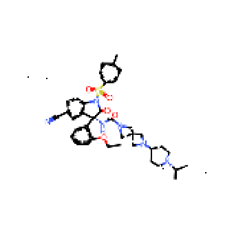 CCOc1ccccc1[C@@]1(NC(=O)N2CC3(C2)CN(C2CCN(C(C)C)CC2)C3)C(=O)N(S(=O)(=O)c2ccc(C)cc2)c2ccc(C#N)cc21